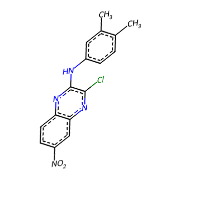 Cc1ccc(Nc2nc3ccc([N+](=O)[O-])cc3nc2Cl)cc1C